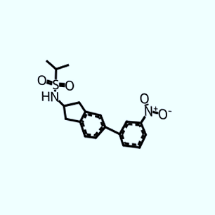 CC(C)S(=O)(=O)NC1Cc2ccc(-c3cccc([N+](=O)[O-])c3)cc2C1